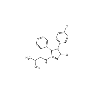 CC(C)CNC1=NC(=O)N(c2ccc(Cl)cc2)C1c1ccccc1